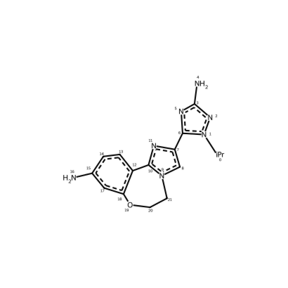 CC(C)n1nc(N)nc1-c1cn2c(n1)-c1ccc(N)cc1OCC2